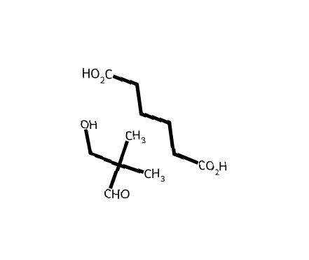 CC(C)(C=O)CO.O=C(O)CCCCC(=O)O